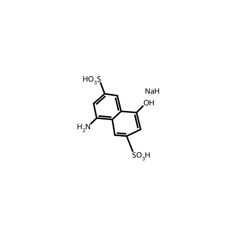 Nc1cc(S(=O)(=O)O)cc2c(O)cc(S(=O)(=O)O)cc12.[NaH]